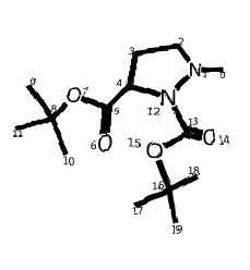 CN1CCC(C(=O)OC(C)(C)C)N1C(=O)OC(C)(C)C